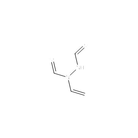 C=CN(C=O)NC=O